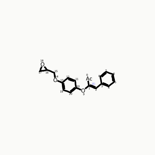 CC(=O)/C(=C\c1ccccc1)Oc1ccc(OCC2CO2)cc1